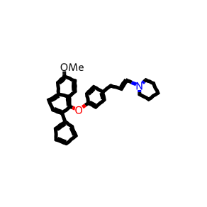 COc1ccc2c(Oc3ccc(CC=CN4CCCCC4)cc3)c(-c3ccccc3)ccc2c1